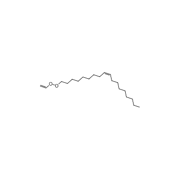 C=COOCCCCCCCC/C=C\CCCCCCCC